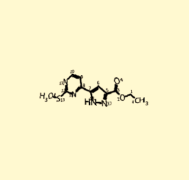 CCOC(=O)c1cc(-c2ccnc(SC)n2)[nH]n1